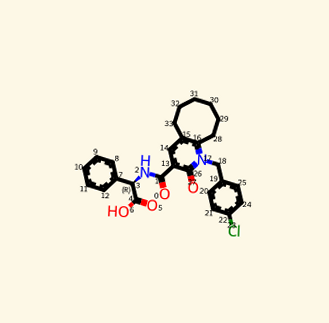 O=C(N[C@@H](C(=O)O)c1ccccc1)c1cc2c(n(Cc3ccc(Cl)cc3)c1=O)CCCCCC2